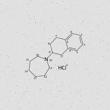 Cl.c1ccc2c(c1)CCC(N1CCCCCC1)C2